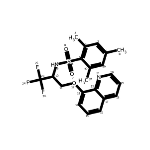 Cc1cc(C)c(S(=O)(=O)NC(COc2cccc3cccnc23)C(F)(F)F)c(C)c1